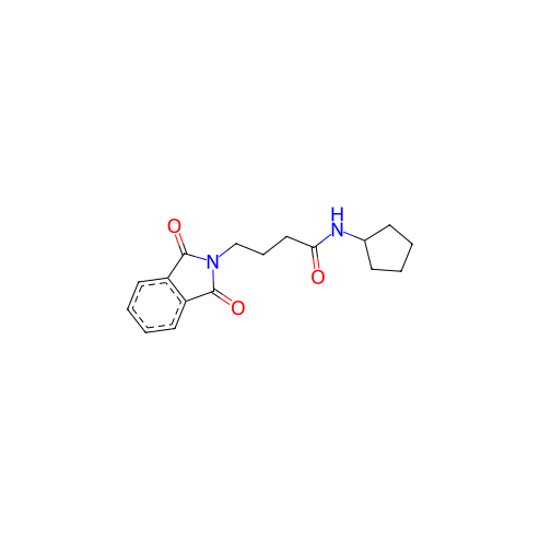 O=C(CCCN1C(=O)c2ccccc2C1=O)NC1CCCC1